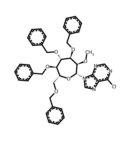 CO[C@@H]1[C@H](OCc2ccccc2)[C@@H](OCc2ccccc2)[C@H](OCc2ccccc2)[C@@H](COCc2ccccc2)O[C@H]1n1cnc2c(Cl)ncnc21